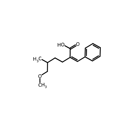 COCC(C)CCC(=Cc1ccccc1)C(=O)O